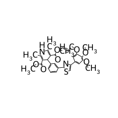 COC(=O)C1=C(C)NC(C)=C(C(=O)OC)C1c1cccc(-c2nc(-c3cc(OC)c(OC)c(OC)c3)cs2)c1